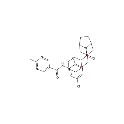 Cc1ncc(C(=O)Nc2cc(Cl)cc(CN3CC4CCC(C3)N4C(=O)C3CCOCC3)c2C)cn1